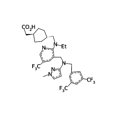 CCN(C[C@H]1CC[C@H](CC(=O)O)CC1)c1ncc(C(F)(F)F)cc1CN(Cc1cc(C(F)(F)F)cc(C(F)(F)F)c1)c1ccn(C)n1